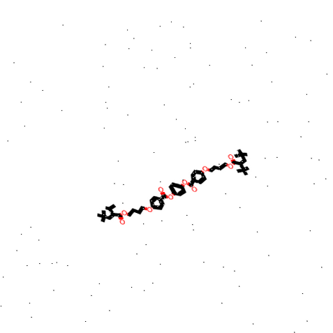 CC(C)C(CC(C)(C)C)C(=O)OCCCCOc1ccc(C(=O)Oc2ccc(OC(=O)c3ccc(OCCCCOC(=O)C(CC(C)(C)C)C(C)(C)C)cc3)cc2)cc1